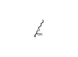 [CH]=CC(O)COCCCCC